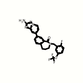 Nc1nc2cc(-c3ccc4c(c3)C(=O)N(Cc3cc(OC(F)(F)F)ccc3F)CCC4)ccn2n1